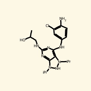 CC(O)CNc1nc(Nc2ccc(N)c(Cl)c2)c2c(n1)N(C(C)C)NN2C(C)C